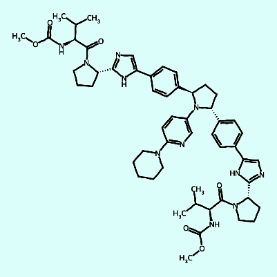 COC(=O)N[C@H](C(=O)N1CCC[C@H]1c1ncc(-c2ccc([C@H]3CC[C@H](c4ccc(-c5cnc([C@@H]6CCCN6C(=O)[C@@H](NC(=O)OC)C(C)C)[nH]5)cc4)N3c3ccc(N4CCCCC4)nc3)cc2)[nH]1)C(C)C